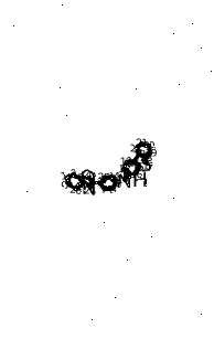 c1ccc2oc(-c3ccc(Nc4ccc5c(c4)sc4ccccc45)cc3)nc2c1